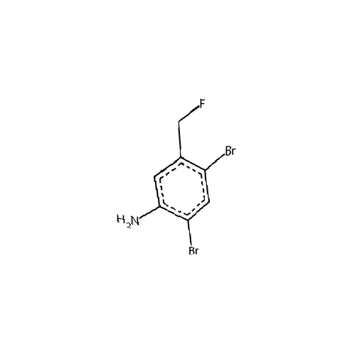 Nc1cc(CF)c(Br)cc1Br